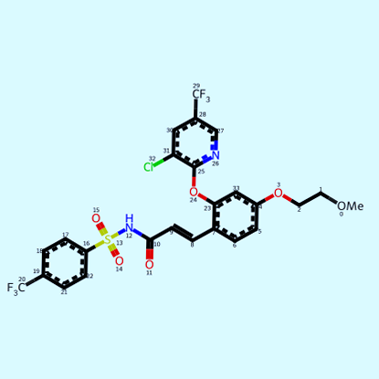 COCCOc1ccc(C=CC(=O)NS(=O)(=O)c2ccc(C(F)(F)F)cc2)c(Oc2ncc(C(F)(F)F)cc2Cl)c1